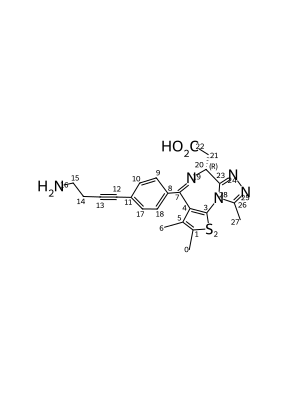 Cc1sc2c(c1C)C(c1ccc(C#CCCN)cc1)=N[C@H](CC(=O)O)c1nnc(C)n1-2